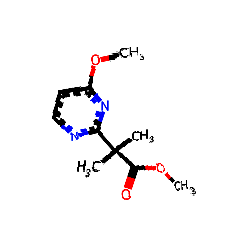 COC(=O)C(C)(C)c1nccc(OC)n1